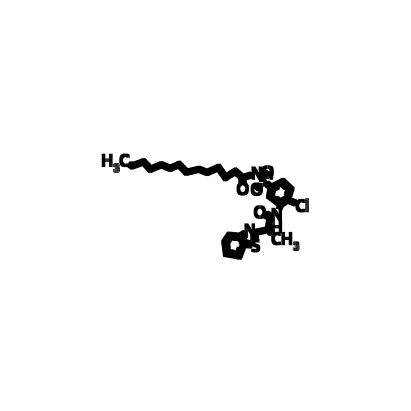 CCCCCCCCCCCCCC(=O)NS(=O)(=O)c1ccc(Cl)c(NC(=O)C(C)c2nc3ccccc3s2)c1